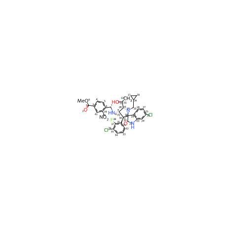 COC(=O)c1ccc(CN[C@@H]2[C@H]([C@H](C)O)N(CC3CC3)[C@@]3(C(=O)Nc4cc(Cl)ccc43)[C@H]2c2cccc(Cl)c2F)c([N+](=O)[O-])c1